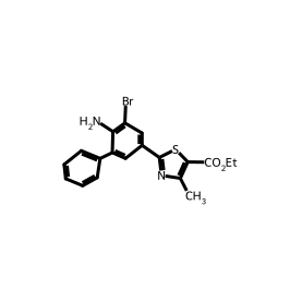 CCOC(=O)c1sc(-c2cc(Br)c(N)c(-c3ccccc3)c2)nc1C